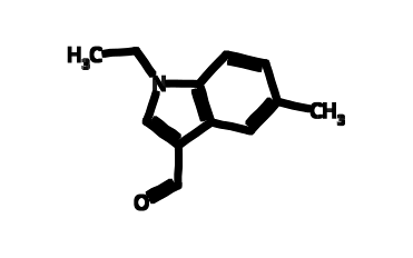 CCn1cc(C=O)c2cc(C)ccc21